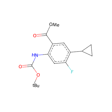 COC(=O)c1cc(C2CC2)c(F)cc1NC(=O)OC(C)(C)C